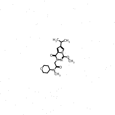 COc1nn(CC(=O)N(C)C2CCOCC2)c(=O)c2cc(C(C)C)cn12